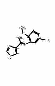 COc1ccc(C)cc1/N=C(\C)c1c[nH]cn1